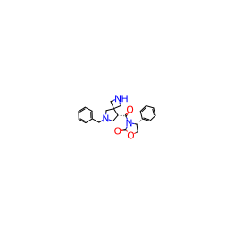 O=C1OC[C@@H](c2ccccc2)N1C(=O)[C@@H]1CN(Cc2ccccc2)CC12CNC2